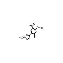 COc1cc(F)c(-c2cnn(C)c2)cc1[N+](=O)[O-]